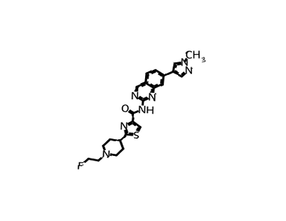 Cn1cc(-c2ccc3cnc(NC(=O)c4csc(C5CCN(CCF)CC5)n4)nc3c2)cn1